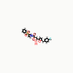 O=C(C=C(O)c1ccc(Cc2ccc(F)cc2)o1)C(=O)n1ccc(S(=O)(=O)c2ccccc2)c1